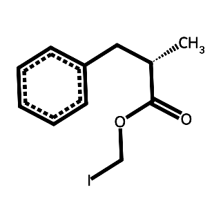 C[C@@H](Cc1ccccc1)C(=O)OCI